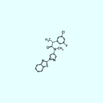 CC(C(=O)N(C)c1cnn(-c2nc3ccccc3s2)c1)c1cc(F)cc(Cl)c1